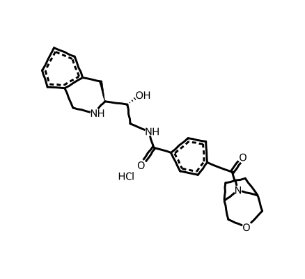 Cl.O=C(NC[C@@H](O)[C@@H]1Cc2ccccc2CN1)c1ccc(C(=O)N2C3CCC2COC3)cc1